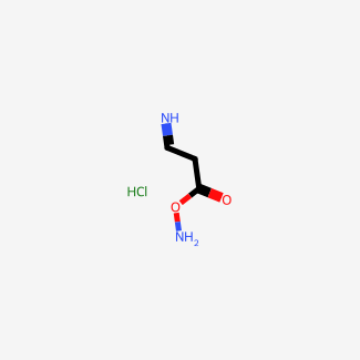 Cl.N=CCC(=O)ON